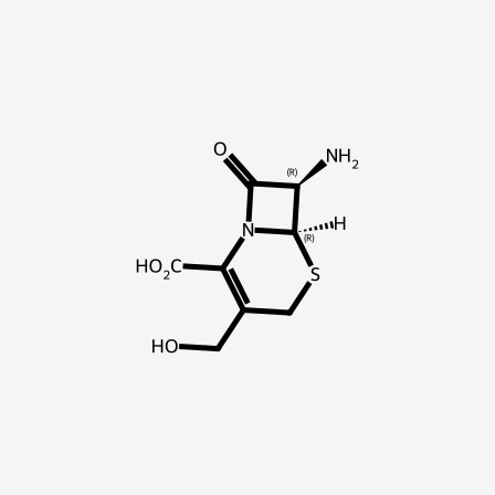 N[C@@H]1C(=O)N2C(C(=O)O)=C(CO)CS[C@H]12